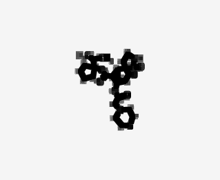 CC(C)C1(OC(=O)C2C(OC(=O)CN3CCSCC3)C3CC2C2(CCNS2(=O)=O)C3)CCCC1